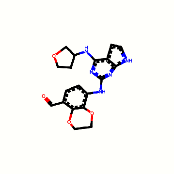 O=Cc1ccc(Nc2nc(NC3CCOC3)c3cc[nH]c3n2)c2c1OCCO2